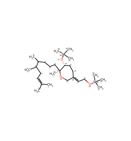 CC(C)=CCC(C)C(C)CCC[C@]1(C)OC/C(=C/CO[Si](C)(C)C)CC[C@H]1O[Si](C)(C)C